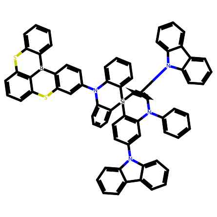 c1ccc(N2c3cc(-n4c5ccccc5c5ccccc54)ccc3[Si]3(c4ccccc4N(c4ccc5c(c4)Sc4cccc6c4B5c4ccccc4S6)c4ccccc43)c3ccc(-n4c5ccccc5c5ccccc54)cc32)cc1